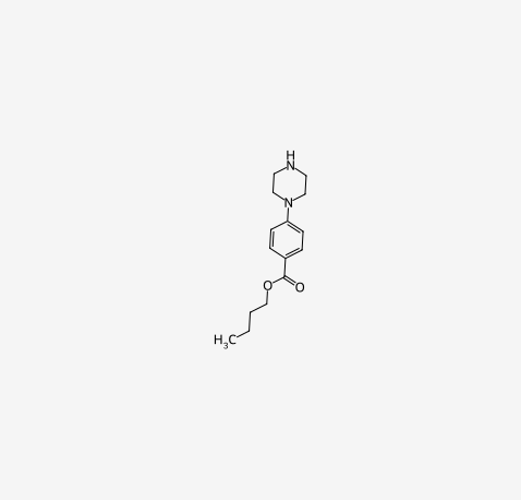 CCCCOC(=O)c1ccc(N2CCNCC2)cc1